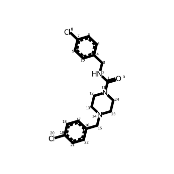 O=C(NCc1ccc(Cl)cc1)N1CCN(Cc2ccc(Cl)cc2)CC1